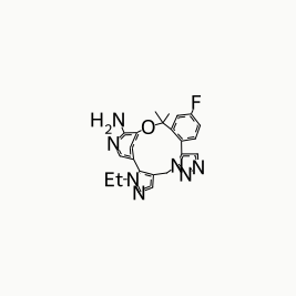 CCn1ncc2c1-c1cnc(N)c(c1)OC(C)(C)c1cc(F)ccc1-c1cnnn1C2